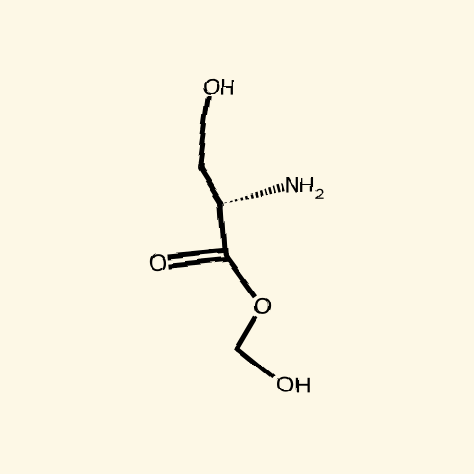 N[C@@H](CO)C(=O)OCO